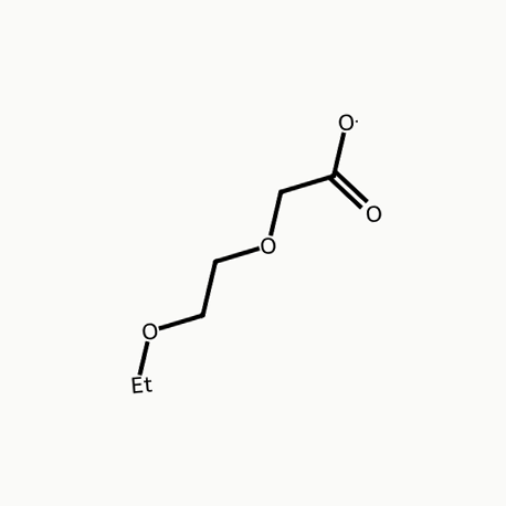 CCOCCOCC([O])=O